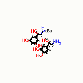 CC(C)(C)NCC(O)c1cc(O)cc(O)c1.NC[C@H](O)c1ccc(O)c(O)c1